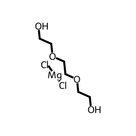 OCCOCCOCCO.[Cl][Mg][Cl]